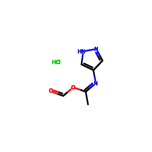 CC(=Nc1cn[nH]c1)OC=O.Cl